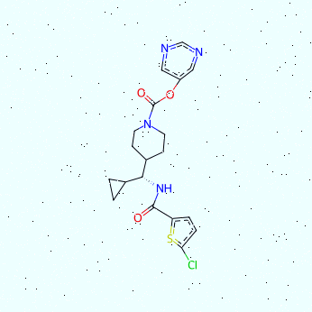 O=C(N[C@H](C1CC1)C1CCN(C(=O)Oc2cncnc2)CC1)c1ccc(Cl)s1